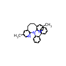 Cc1cnc2c(c1)CCCc1cc(C)cnc1N2c1ccccc1-c1ccccc1